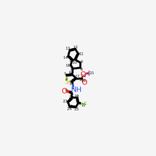 O=C(Nc1scc(C2CCc3ccccc3C2)c1C(=O)OI)c1cccc(F)c1